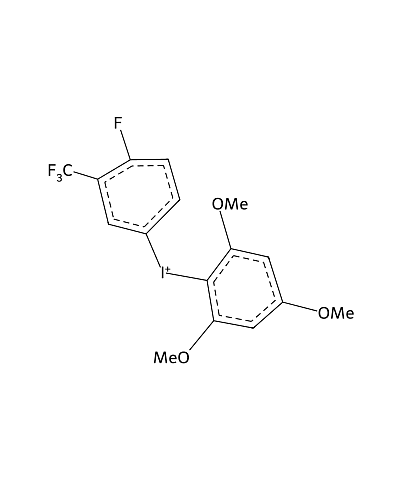 COc1cc(OC)c([I+]c2ccc(F)c(C(F)(F)F)c2)c(OC)c1